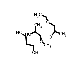 CCOCC(C)O.COCC(C)O.OCCCO